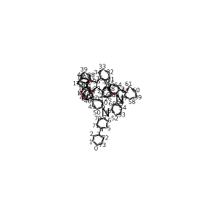 c1ccc(-c2ccc(N(c3ccc(-c4ccc5cccc6c5c4C45c7ccccc7-c7ccccc7C64c4ccccc4-c4ccccc45)cc3)c3cccc(-n4c5ccccc5c5ccccc54)c3)cc2)cc1